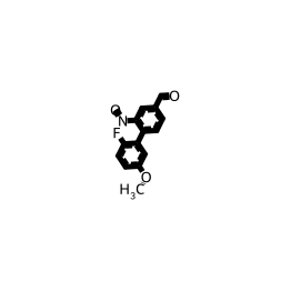 COc1ccc(F)c(-c2ccc(C=O)cc2N=O)c1